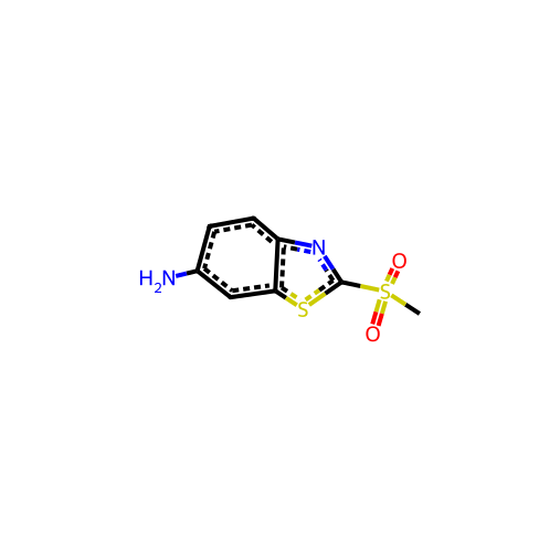 CS(=O)(=O)c1nc2ccc(N)cc2s1